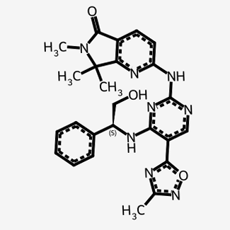 Cc1noc(-c2cnc(Nc3ccc4c(n3)C(C)(C)N(C)C4=O)nc2N[C@H](CO)c2ccccc2)n1